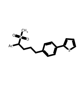 CC(=O)C(CCCc1ccc(-c2cccs2)cc1)S(C)(=O)=O